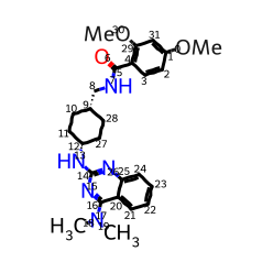 COc1ccc(C(=O)NC[C@H]2CC[C@@H](Nc3nc(N(C)C)c4ccccc4n3)CC2)c(OC)c1